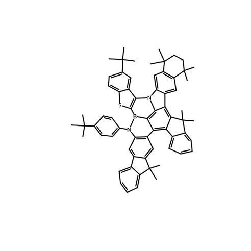 CC(C)(C)c1ccc(N2B3c4sc5ccc(C(C)(C)C)cc5c4-n4c5cc6c(cc5c5c7c(c(c3c54)-c3cc4c(cc32)-c2ccccc2C4(C)C)-c2ccccc2C7(C)C)C(C)(C)CCC6(C)C)cc1